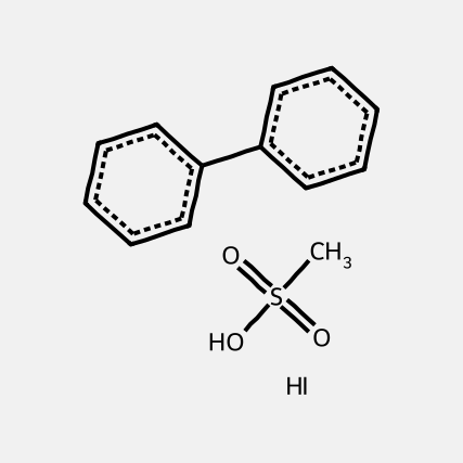 CS(=O)(=O)O.I.c1ccc(-c2ccccc2)cc1